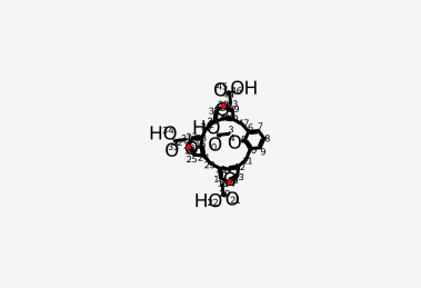 O=C(O)COc1c2cccc1Cc1cccc(c1OCC(=O)O)Cc1cccc(c1OCC(=O)O)Cc1cccc(c1OCC(=O)O)C2